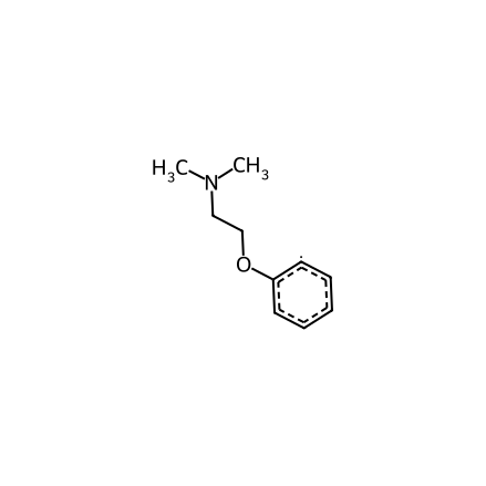 CN(C)CCOc1[c]cccc1